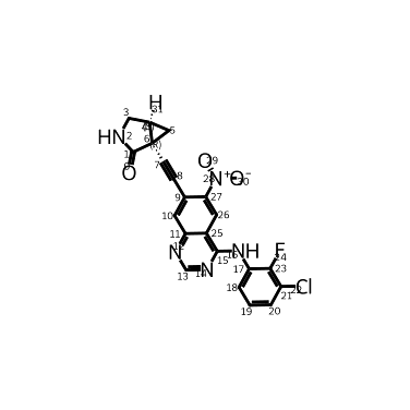 O=C1NC[C@H]2C[C@@]12C#Cc1cc2ncnc(Nc3cccc(Cl)c3F)c2cc1[N+](=O)[O-]